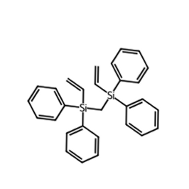 C=C[Si](C[Si](C=C)(c1ccccc1)c1ccccc1)(c1ccccc1)c1ccccc1